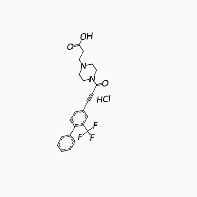 Cl.O=C(O)CCN1CCN(C(=O)C#Cc2ccc(-c3ccccc3)c(C(F)(F)F)c2)CC1